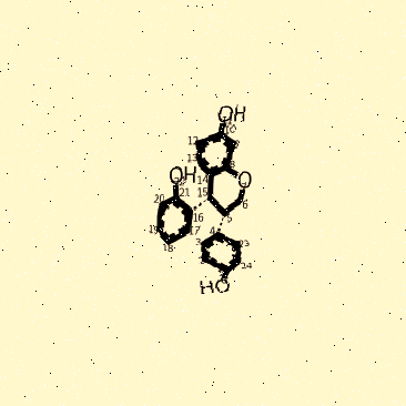 Oc1ccc([C@H]2COc3cc(O)ccc3[C@H]2c2ccccc2O)cc1